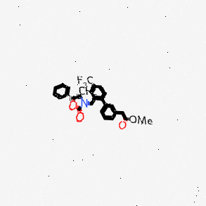 COC(=O)Cc1cccc(-c2ccc(C(F)(F)F)cc2CN2C(=O)O[C@H](c3ccccc3)[C@@H]2C)c1